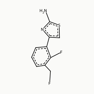 Nc1nc(-c2cccc(CF)c2F)cs1